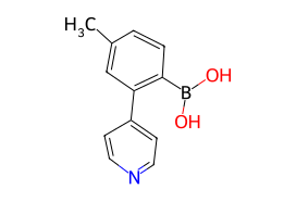 Cc1ccc(B(O)O)c(-c2ccncc2)c1